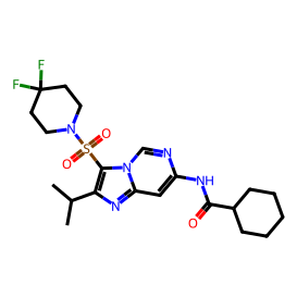 CC(C)c1nc2cc(NC(=O)C3CCCCC3)ncn2c1S(=O)(=O)N1CCC(F)(F)CC1